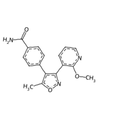 COc1ncccc1-c1noc(C)c1-c1ccc(C(N)=O)cc1